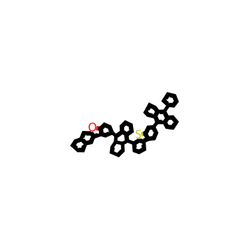 C1=CC2C(c3ccc4oc5cc6ccccc6cc5c4c3)=c3ccccc3=C(c3cccc4c3sc3cc(-c5c6ccccc6c(-c6ccccc6)c6ccccc56)ccc34)C2C=C1